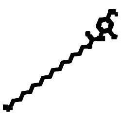 CCCCCCCCCCCCCCCCOC(=O)Nc1ccc(C)cc1Br